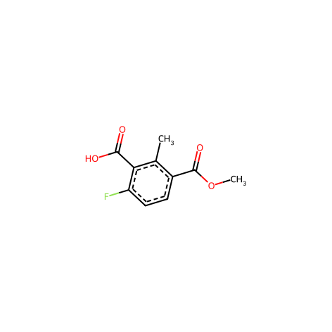 COC(=O)c1ccc(F)c(C(=O)O)c1C